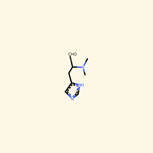 CN(C)C(C=O)Cc1cnc[nH]1